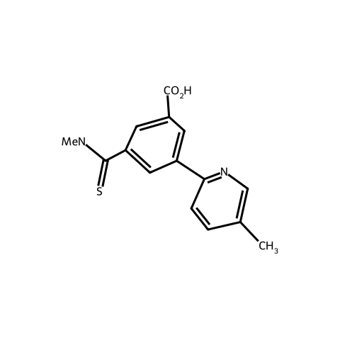 CNC(=S)c1cc(C(=O)O)cc(-c2ccc(C)cn2)c1